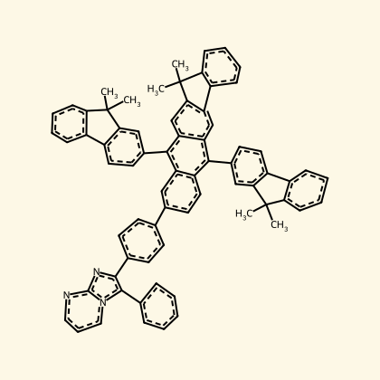 CC1(C)c2ccccc2-c2ccc(-c3c4ccc(-c5ccc(-c6nc7ncccn7c6-c6ccccc6)cc5)cc4c(-c4ccc5c(c4)C(C)(C)c4ccccc4-5)c4cc5c(cc34)-c3ccccc3C5(C)C)cc21